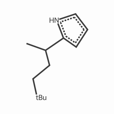 CC(CCC(C)(C)C)c1ccc[nH]1